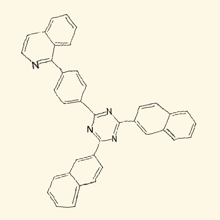 c1ccc2cc(-c3nc(-c4ccc(-c5nccc6ccccc56)cc4)nc(-c4ccc5ccccc5c4)n3)ccc2c1